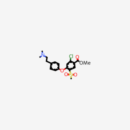 COC(=O)c1cc(S(C)(=O)=O)c(Oc2ccc(CCN(C)C)cc2)cc1Cl